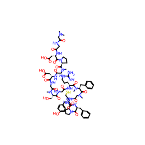 CN(C)CC(=O)NCC(=O)N[C@@H](CC(=O)O)C(=O)N1CCC[C@H]1C(=O)N(C)CC(=O)N[C@@H](CC(=O)O)C(=O)NCC(=O)N(C)[C@@H](CO)C(=O)NCC(=O)N[C@@H](CCCNC(=N)N)C(=O)N(C)[C@@H](Cc1ccccc1)C(=O)N(C)CC(=O)N[C@@H](Cc1ccc(O)cc1)C(=O)N(C)[C@@H](Cc1ccccc1)C(=O)N1CCC[C@H]1C(=O)NCCS